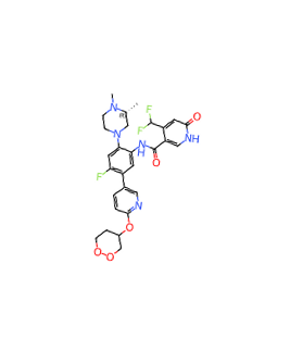 C[C@@H]1CN(c2cc(F)c(-c3ccc(OC4CCOOC4)nc3)cc2NC(=O)c2c[nH]c(=O)cc2C(F)F)CCN1C